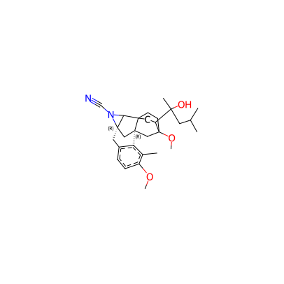 COc1ccc2c(c1C)[C@@]13CC4(OC)CCC1(CC4C(C)(O)CC(C)C)C1N(C#N)[C@]1(C2)C3